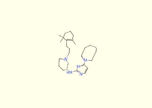 CC1=C(CCN2CCCC(Nc3nccc(N4CCCCCC4)n3)C2)C(C)(C)CCC1